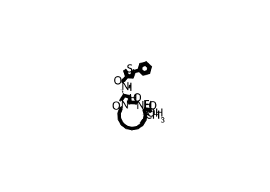 C[C@H]1/C=C\CCCCCCC(=O)N2C[C@H](CN(I)C(=O)c3csc(-c4ccccc4)c3)C[C@H]2C(=O)N[C@@]1(F)C(=O)O